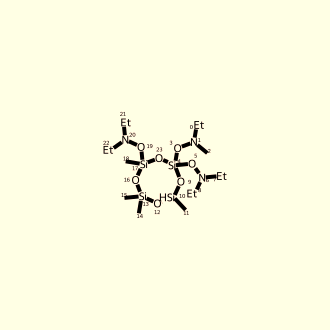 CCN(C)O[Si]1(ON(CC)CC)O[SiH](C)O[Si](C)(C)O[Si](C)(ON(CC)CC)O1